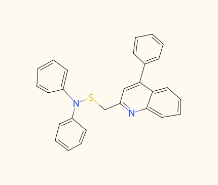 c1ccc(-c2cc(CSN(c3ccccc3)c3ccccc3)nc3ccccc23)cc1